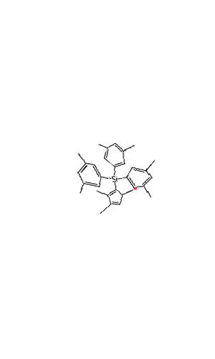 CC1=CC(C)C([Si](c2cc(C)cc(C)c2)(c2cc(C)cc(C)c2)c2cc(C)cc(C)c2)=C1C